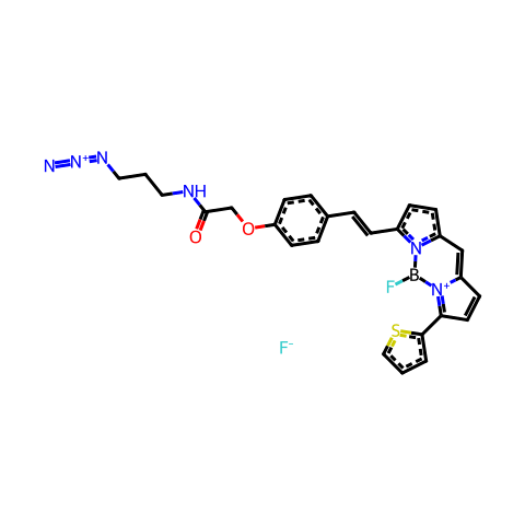 [F-].[N-]=[N+]=NCCCNC(=O)COc1ccc(/C=C/c2ccc3n2B(F)[N+]2=C(c4cccs4)C=CC2=C3)cc1